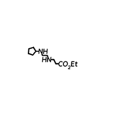 CCOC(=O)CCNCCNC1CCCC1